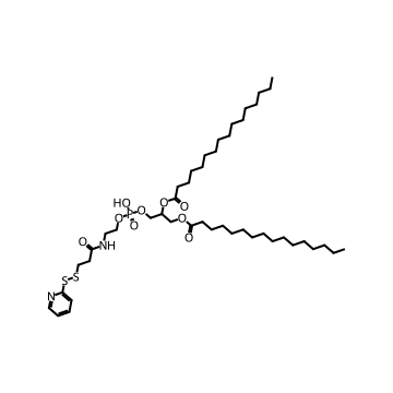 CCCCCCCCCCCCCCCC(=O)OCC(COP(=O)(O)OCCNC(=O)CCSSc1ccccn1)OC(=O)CCCCCCCCCCCCCCC